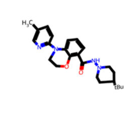 Cc1ccc(N2CCOc3c(C(=O)NN4CCC(C(C)(C)C)CC4)cccc32)nc1